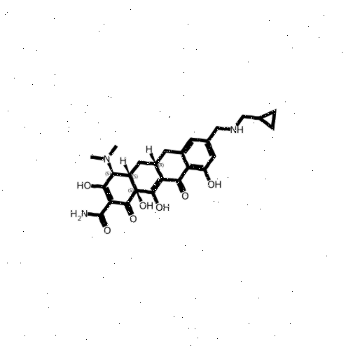 CN(C)[C@@H]1C(O)=C(C(N)=O)C(=O)[C@@]2(O)C(O)=C3C(=O)c4c(O)cc(CNCC5CC5)cc4C[C@H]3C[C@@H]12